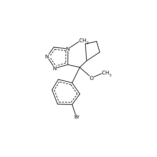 COC(c1cccc(Br)c1)(c1nncn1C)C1CCC1